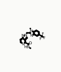 CNC(=O)c1nccc2nn(Cc3nc4cc(C(F)(F)F)ccc4n3C)cc12